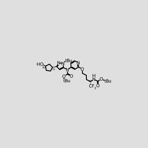 CC(C)(C)OC(=O)N[C@@H](CCCOc1cc(N(C(=O)OC(C)(C)C)c2cc([C@H]3CC[C@@H](O)C3)nn2C(C)(C)C)ccn1)C(F)(F)F